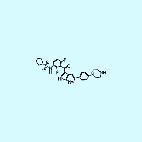 O=C(c1c(F)ccc(NS(=O)(=O)C2CCCC2)c1F)c1c[nH]c2ncc(-c3ccc(N4CCNCC4)cc3)cc12